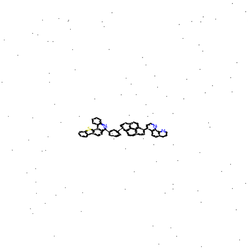 c1cc(-c2nc3ccccc3c3c2ccc2c4ccccc4sc23)cc(-c2ccc3ccc4c(-c5ccnc6c5ccc5cccnc56)ccc5ccc2c3c54)c1